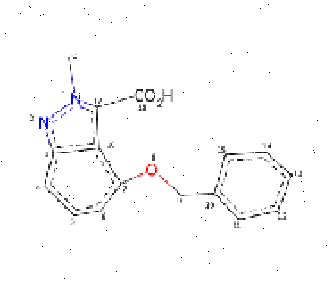 Cn1nc2cccc(OCc3ccccc3)c2c1C(=O)O